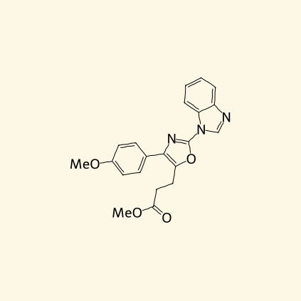 COC(=O)CCc1oc(-n2cnc3ccccc32)nc1-c1ccc(OC)cc1